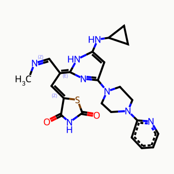 C\N=C/C(/C=C1\SC(=O)NC1=O)=C1/N=C(N2CCN(c3ccccn3)CC2)C=C(NC2CC2)N1